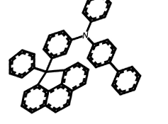 c1ccc(-c2ccc(N(c3ccccc3)c3cccc(C4(c5ccccc5)c5cccc6ccc7cccc4c7c56)c3)cc2)cc1